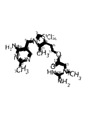 Cc1ncc(C[n+]2csc(CCOC(=O)CN(C)C(=N)N)c2C)c(N)n1.[Cl-]